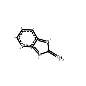 C=C1N=c2cccnc2=N1